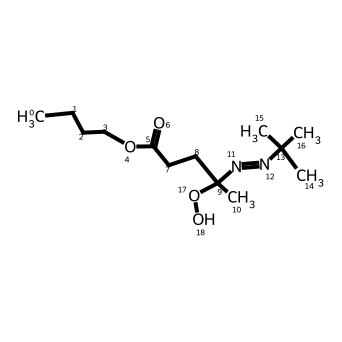 CCCCOC(=O)CCC(C)(/N=N/C(C)(C)C)OO